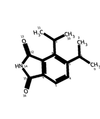 CC(C)c1ccc2c(c1C(C)C)C(=O)NC2=O